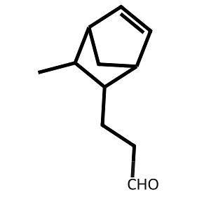 CC1C2C=CC(C2)C1CCC=O